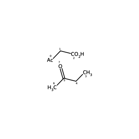 CC(=O)CC(=O)O.CCC(C)=O